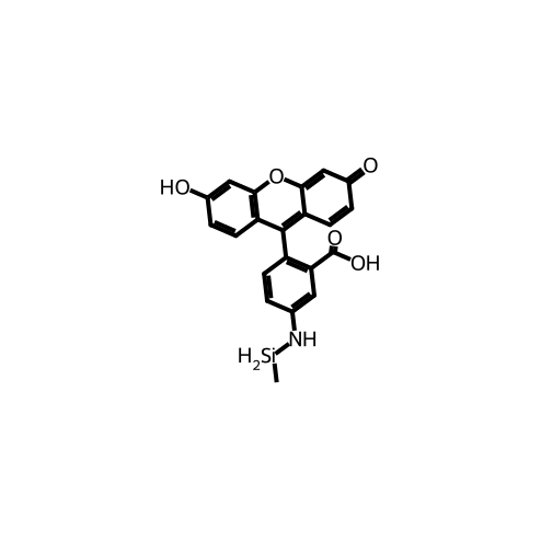 C[SiH2]Nc1ccc(-c2c3ccc(=O)cc-3oc3cc(O)ccc23)c(C(=O)O)c1